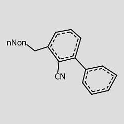 CCCCCCCCCCc1cccc(-c2ccccc2)c1C#N